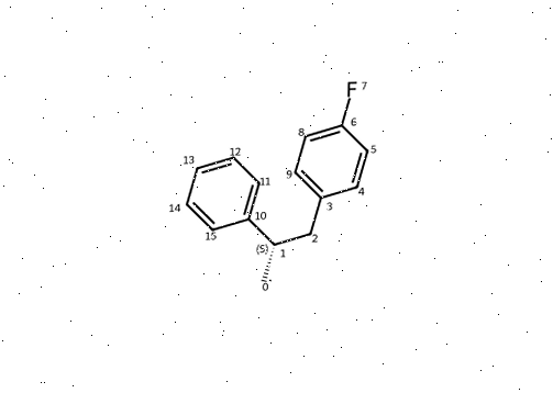 [CH2][C@@H](Cc1ccc(F)cc1)c1ccccc1